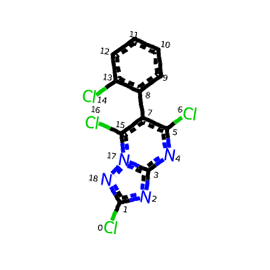 Clc1nc2nc(Cl)c(-c3ccccc3Cl)c(Cl)n2n1